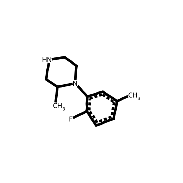 Cc1ccc(F)c(N2CCNCC2C)c1